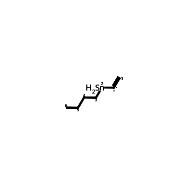 C=[C][SnH2][CH2]CCC